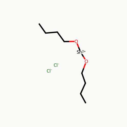 CCCC[O][Sn+2][O]CCCC.[Cl-].[Cl-]